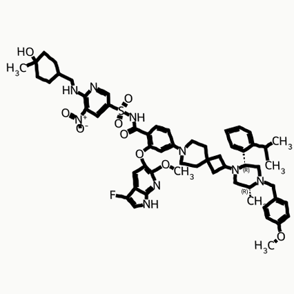 COc1ccc(CN2C[C@@H](c3ccccc3C(C)C)N(C3CC4(CCN(c5ccc(C(=O)NS(=O)(=O)c6cnc(NCC7CCC(C)(O)CC7)c([N+](=O)[O-])c6)c(Oc6cc7c(F)c[nH]c7nc6OC)c5)CC4)C3)C[C@H]2C)cc1